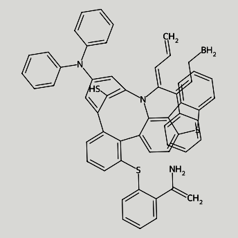 BC/C=C(\C(=C/C=C)N1c2cc(N(c3ccccc3)c3ccccc3)cc(c2S)-c2cccc(Sc3ccccc3C(=C)N)c2-c2ccc3sc4ccccc4c3c21)c1ccccc1